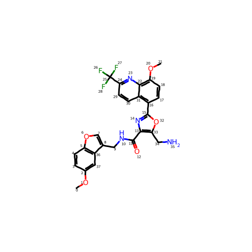 COc1ccc2occ(CNC(=O)c3nc(-c4ccc(OC)c5nc(C(F)(F)F)ccc45)oc3CN)c2c1